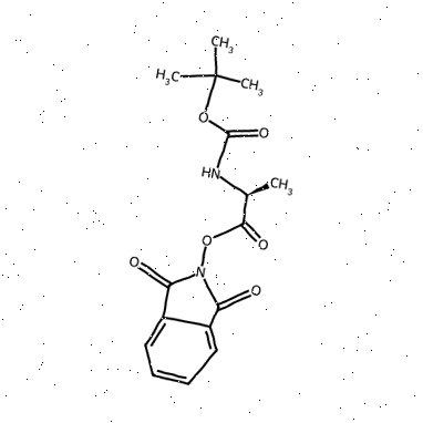 C[C@H](NC(=O)OC(C)(C)C)C(=O)ON1C(=O)c2ccccc2C1=O